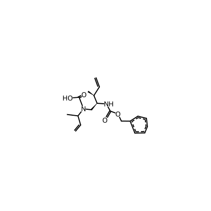 C=CC(C)N(C[C@H](NC(=O)OCc1ccccc1)[C@@H](C)C=C)C(=O)O